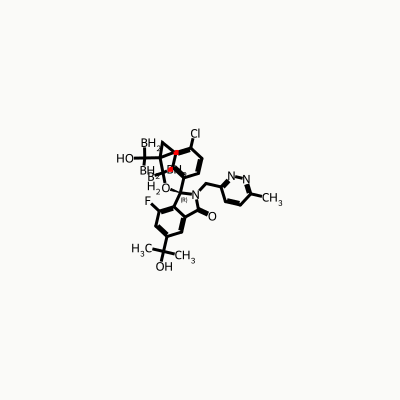 BC(B)(O)C1(C(B)(B)O[C@]2(c3ccc(Cl)cc3)c3c(F)cc(C(C)(C)O)cc3C(=O)N2Cc2ccc(C)nn2)CC1